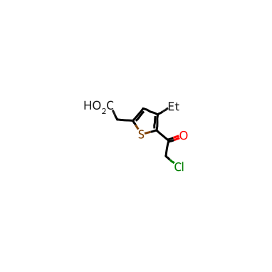 CCc1cc(CC(=O)O)sc1C(=O)CCl